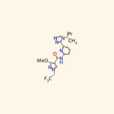 COc1nn(CC(F)(F)F)cc1C(=O)Nc1cccc(-c2nncn2[C@@H](C)C(C)C)n1